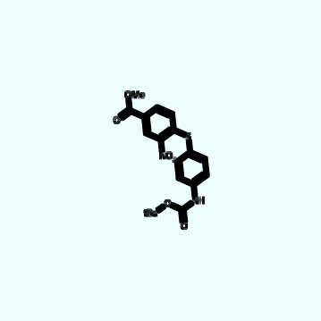 COC(=O)c1ccc(Sc2ccc(NC(=O)OC(C)(C)C)cc2)c([N+](=O)[O-])c1